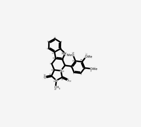 COc1ccc(C2c3[nH]c4ccccc4c3CC3C(=O)N(C)C(=S)N32)c(OC)c1OC